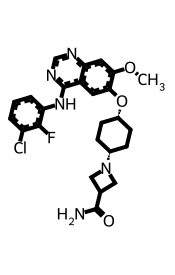 COc1cc2ncnc(Nc3cccc(Cl)c3F)c2cc1O[C@H]1CC[C@@H](N2CC(C(N)=O)C2)CC1